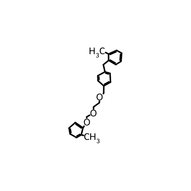 Cc1ccccc1Cc1ccc(COCCOCOc2ccccc2C)cc1